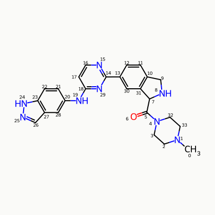 CN1CCN(C(=O)C2NCc3ccc(-c4nccc(Nc5ccc6[nH]ncc6c5)n4)cc32)CC1